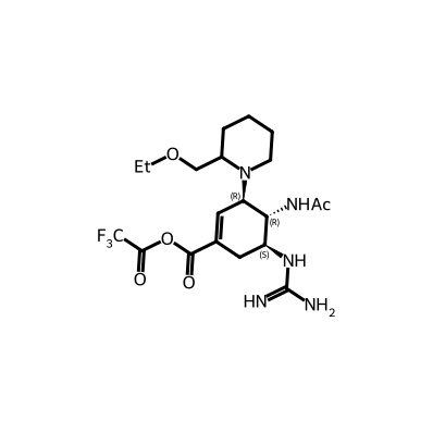 CCOCC1CCCCN1[C@@H]1C=C(C(=O)OC(=O)C(F)(F)F)C[C@H](NC(=N)N)[C@H]1NC(C)=O